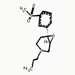 CCCN1CC[C@@]2(c3cccc(S(C)(=O)=O)c3)O[C@H]2C1